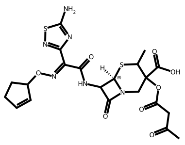 CC(=O)CC(=O)OC1(C(=O)O)CN2C(=O)C(NC(=O)C(=NOC3C=CCC3)c3nsc(N)n3)[C@H]2SC1C